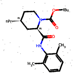 CCC[C@@H]1CCN(C(=O)OC(C)(C)C)[C@@H](C(=O)Nc2c(C)cccc2C)C1